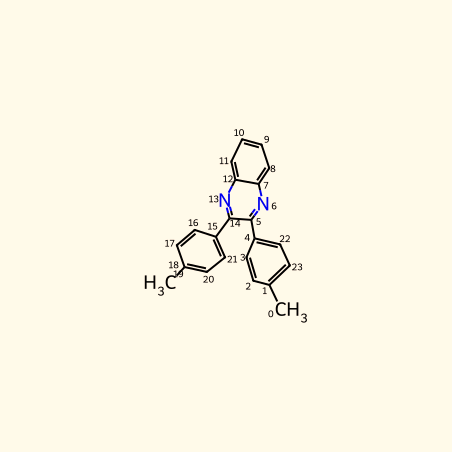 Cc1ccc(-c2nc3ccccc3nc2-c2ccc(C)cc2)cc1